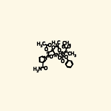 COC(=O)[C@H](C)NP(=O)(OC[C@H]1O[C@@H]([n+]2cccc(C(N)=O)c2)[C@H](OC(C)=O)[C@@H]1OC(C)=O)Oc1ccccc1